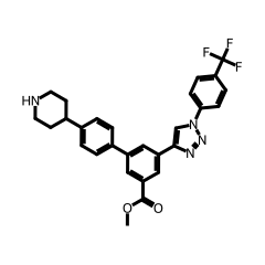 COC(=O)c1cc(-c2ccc(C3CCNCC3)cc2)cc(-c2cn(-c3ccc(C(F)(F)F)cc3)nn2)c1